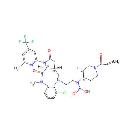 C=CC(=O)N1CC[C@H](N(CCN2C[C@H]3CC(=O)N(c4cc(C(F)(F)F)cc(C)n4)[C@@H]3C(=O)N(C)c3cccc(Cl)c32)C(=O)O)[C@H](F)C1